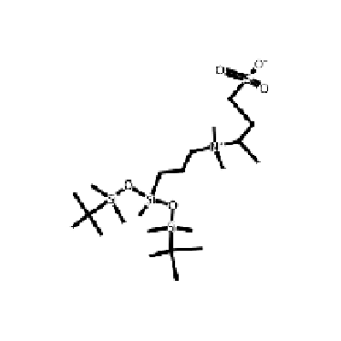 CC(CCS(=O)(=O)[O-])[N+](C)(C)CCC[Si](C)(O[Si](C)(C)C(C)(C)C)O[Si](C)(C)C(C)(C)C